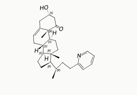 C[C@H](CCc1ccccn1)[C@H]1CC[C@H]2[C@@H]3CC=C4C[C@H](O)CC(=O)[C@]4(C)[C@H]3CC[C@]12C